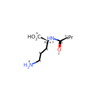 CC(C)C(=O)N[C@@H](CCCN)C(=O)O